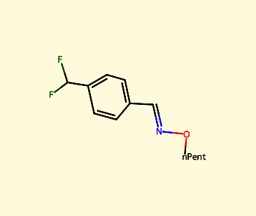 CCCCCO/N=[C]/c1ccc(C(F)F)cc1